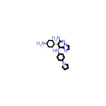 Nc1nn2ccnc2c(Nc2ccc(-n3cccc3)cc2)c1[C@H]1CC[C@H](N)CC1